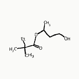 CCC(C)(C)C(=O)OC(C)CCO